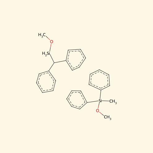 CO[SiH2]C(c1ccccc1)c1ccccc1.CO[Si](C)(c1ccccc1)c1ccccc1